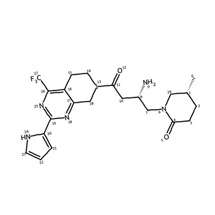 C[C@@H]1CCC(=O)N(C[C@@H](N)CC(=O)I2CCc3c(nc(-c4ccc[nH]4)nc3C(F)(F)F)C2)C1